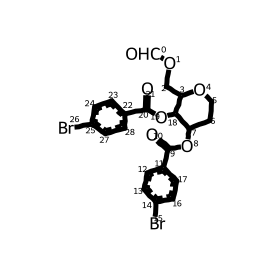 O=COCC1OCCC(OC(=O)c2ccc(Br)cc2)C1OC(=O)c1ccc(Br)cc1